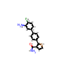 NC(=O)c1ccsc1-c1ccc(-c2ccc(F)c(N)c2)cc1